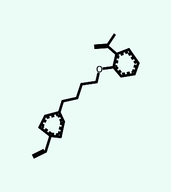 C=Cc1ccc(CCCCOc2ccccc2C(=C)C)cc1